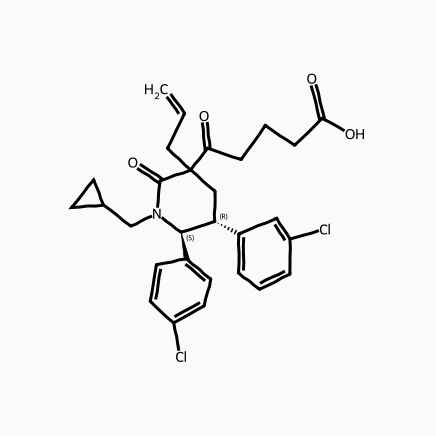 C=CCC1(C(=O)CCCC(=O)O)C[C@H](c2cccc(Cl)c2)[C@@H](c2ccc(Cl)cc2)N(CC2CC2)C1=O